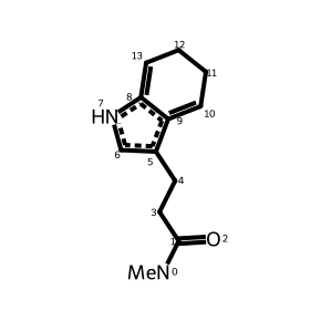 CNC(=O)CCc1c[nH]c2c1=CCCC=2